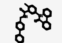 Cc1ccc(NC(=O)c2ccccc2-c2ccccc2)cc1C(=O)NCc1ccc(-c2ccccc2)cc1